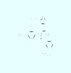 COCc1ccc2c(c1)CCN(C(=O)Cc1cc(O)no1)[C@H]2C(=O)Nc1ccc(C(C)(C)C)c(F)c1